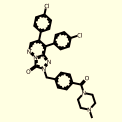 CN1CCN(C(=O)c2ccc(Cn3nc4c(-c5ccc(Cl)cc5)c(-c5ccc(Cl)cc5)cnn4c3=O)cc2)CC1